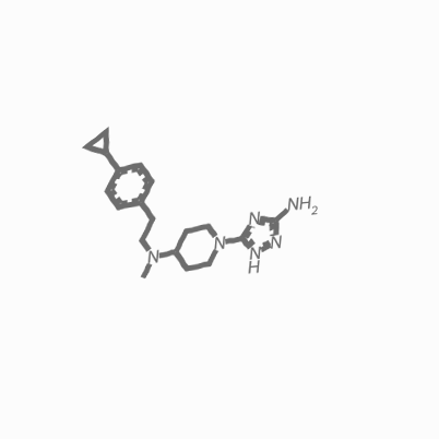 CN(CCc1ccc(C2CC2)cc1)C1CCN(c2nc(N)n[nH]2)CC1